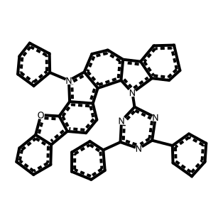 c1ccc(-c2nc(-c3ccccc3)nc(-n3c4ccccc4c4ccc5c(c6ccc7c8ccccc8oc7c6n5-c5ccccc5)c43)n2)cc1